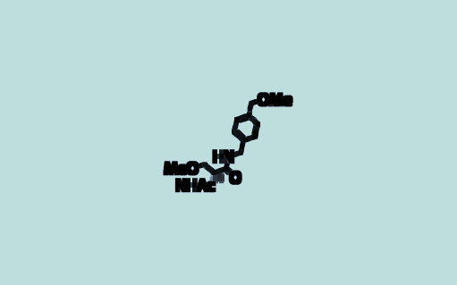 COCc1ccc(CNC(=O)[C@@H](COC)NC(C)=O)cc1